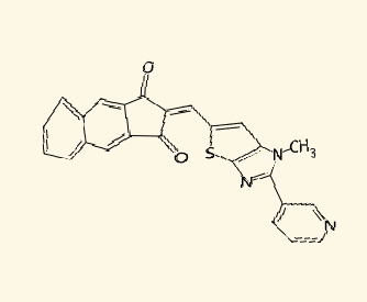 Cn1c(-c2cccnc2)nc2sc(C=C3C(=O)c4cc5ccccc5cc4C3=O)cc21